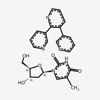 Cc1cn([C@H]2C[C@H](O)[C@@H](CO)O2)c(=O)[nH]c1=O.c1cncc(-c2cccnc2-c2cccnc2)c1